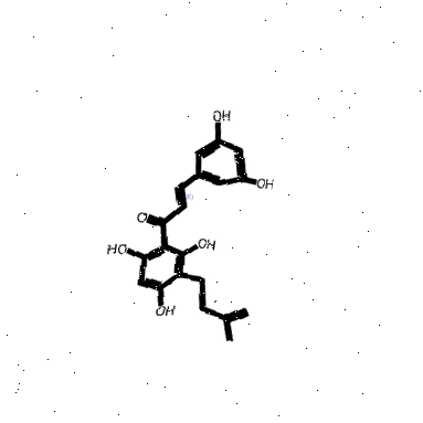 C=C(C)CCc1c(O)cc(O)c(C(=O)/C=C/c2cc(O)cc(O)c2)c1O